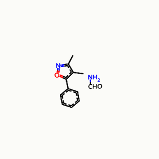 Cc1noc(-c2ccccc2)c1C.NC=O